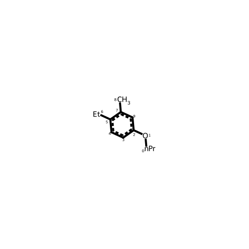 CCCOc1ccc(CC)c(C)c1